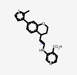 Cc1sccc1-c1ccc2c(c1)OCCC2/C=C/Nc1cnccc1C(=O)O